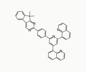 CC1(C)c2ccccc2-c2cnc(-c3ccc(-c4cc(-c5cccc6cccnc56)cc(-c5cccc6cccnc56)n4)cc3)nc21